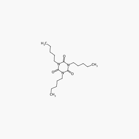 CCCCCn1c(=O)n(CCCCC)c(=O)n(CCCCC)c1=O